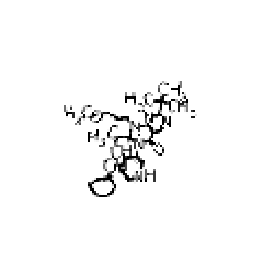 COCCCNc1nc(C(C)(C)C)ncc1C(=O)N(CC(C)C)[C@@H]1CNC[C@H](C2(O)CCCCC2)C1